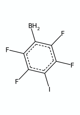 Bc1c(F)c(F)c(I)c(F)c1F